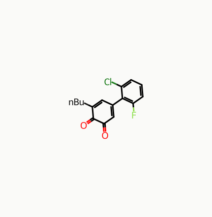 CCCCC1=CC(c2c(F)cccc2Cl)=CC(=O)C1=O